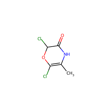 CC1=C(Cl)OC(Cl)C(=O)N1